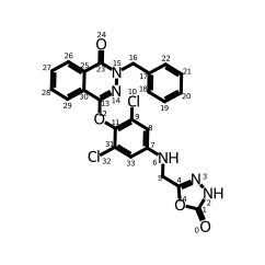 O=c1[nH]nc(CNc2cc(Cl)c(Oc3nn(Cc4ccccc4)c(=O)c4ccccc34)c(Cl)c2)o1